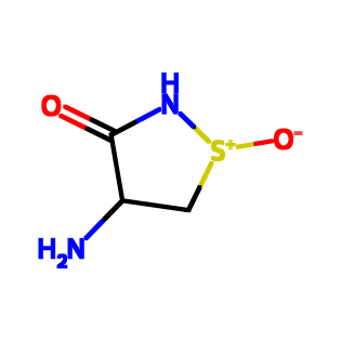 NC1C[S+]([O-])NC1=O